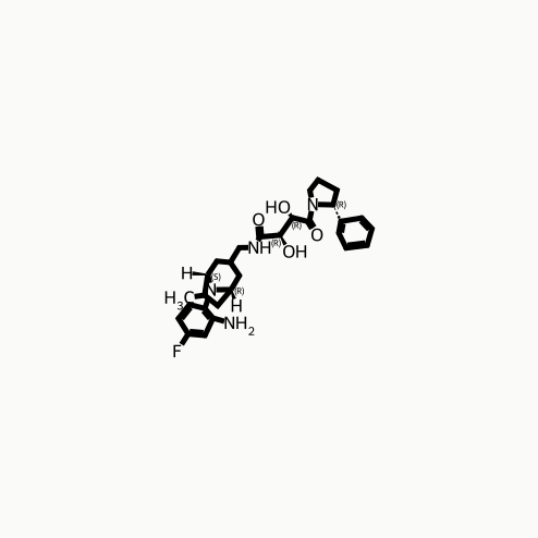 CC1C[C@H]2CC(CNC(=O)[C@H](O)[C@@H](O)C(=O)N3CCC[C@@H]3c3ccccc3)C[C@@H]1N2c1ccc(F)cc1N